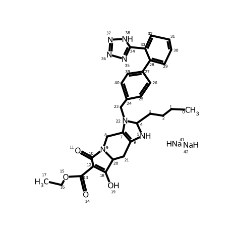 CCCCC1NC2=C(CN3C(=O)C(C(=O)OCC)=C(O)C3C2)N1Cc1ccc(-c2ccccc2-c2nnn[nH]2)cc1.[NaH].[NaH]